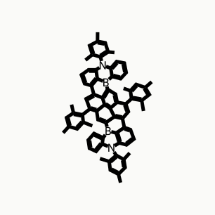 Cc1cc(C)c(-c2cc3c4c(cc5c(-c6c(C)cc(C)cc6C)cc6c7c(cc2c4c57)B2c4ccccc4N(c4c(C)cc(C)cc4C)c4cccc-6c42)B2c4ccccc4N(c4c(C)cc(C)cc4C)c4cccc-3c42)c(C)c1